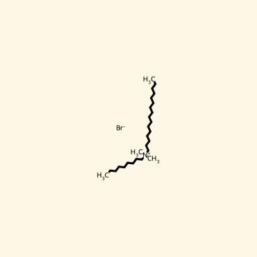 CCCCCCCCCCCCCCCC[N+](C)(C)CCCCCCCCC.[Br-]